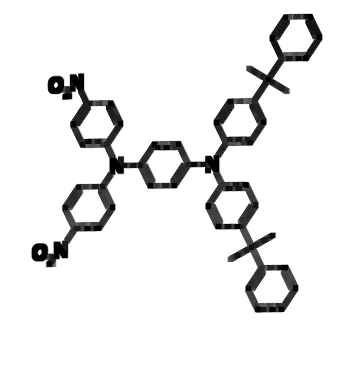 CC(C)(c1ccccc1)c1ccc(N(c2ccc(N(c3ccc([N+](=O)[O-])cc3)c3ccc([N+](=O)[O-])cc3)cc2)c2ccc(C(C)(C)c3ccccc3)cc2)cc1